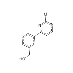 OCc1cccc(-c2ccnc(Cl)n2)c1